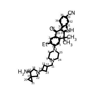 CCc1cc2c(cc1N1CCN(CC3CC(N4C[C@H](N)C5(CC5)C4)C3)CC1)C(C)(C)c1[nH]c3cc(C#N)ccc3c1C2=O